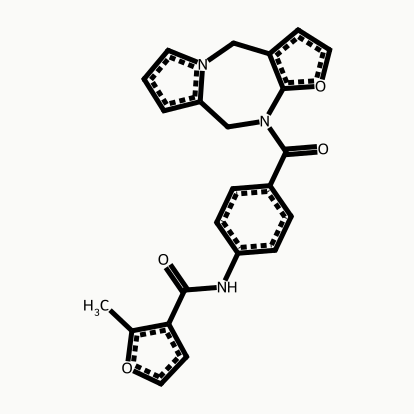 Cc1occc1C(=O)Nc1ccc(C(=O)N2Cc3cccn3Cc3ccoc32)cc1